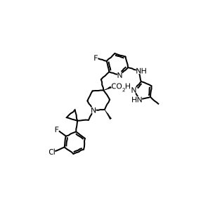 Cc1cc(Nc2ccc(F)c(C[C@@]3(C(=O)O)CCN(CC4(c5cccc(Cl)c5F)CC4)[C@H](C)C3)n2)n[nH]1